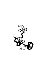 O=C1OC2C3C[C@@H](C2OC(=O)C24CC5CC(CC(C5)C2)C4)C(C(=O)OCCCS(=O)(=O)O)C13